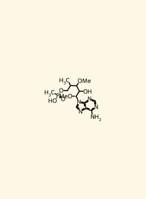 COC(C(C)COP(C)(=O)O)C(O)[C@H](OC)n1cnc2c(N)ncnc21